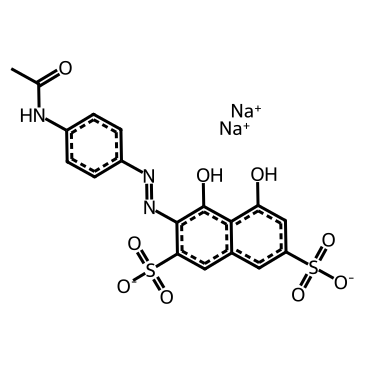 CC(=O)Nc1ccc(N=Nc2c(S(=O)(=O)[O-])cc3cc(S(=O)(=O)[O-])cc(O)c3c2O)cc1.[Na+].[Na+]